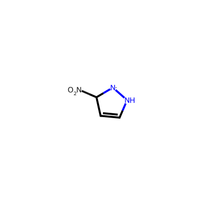 O=[N+]([O-])C1C=CN[N]1